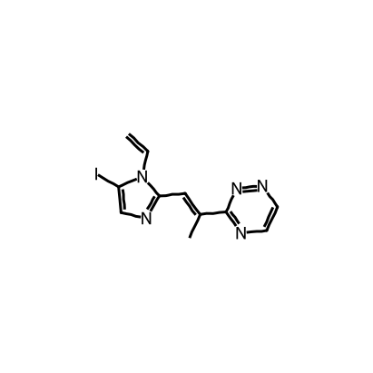 C=Cn1c(I)cnc1/C=C(\C)c1nccnn1